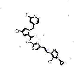 O=C(Nc1nc(/C=C/c2ncn(C3CC3)c2Cl)cs1)c1cc(Cl)cn1Cc1ccnc(F)c1